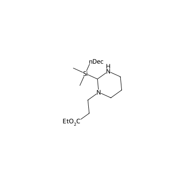 CCCCCCCCCC[Si](C)(C)C1NCCCN1CCC(=O)OCC